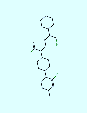 C=C(F)C(CC[C@H](CF)C1CCCCC1)C1CCC(C2CCC(C)C=C2F)CC1